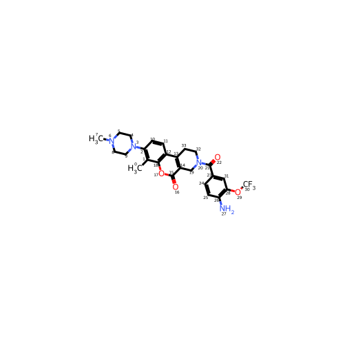 Cc1c(N2CCN(C)CC2)ccc2c3c(c(=O)oc12)CN(C(=O)c1ccc(N)c(OC(F)(F)F)c1)CC3